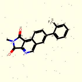 CN1C(=O)c2ncc3cc(-c4ccccc4C(F)(F)F)ccc3c2C1=O